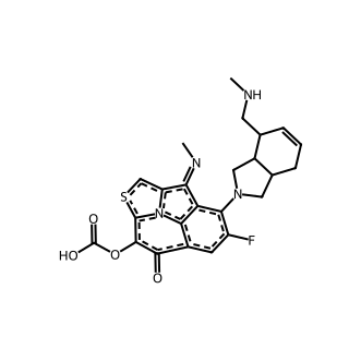 CN=c1c2c(N3CC4CC=CC(CNC)C4C3)c(F)cc3c(=O)c(OC(=O)O)c4scc1n4c32